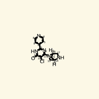 O=c1[nH]c(-c2ccncc2)nc(N2C[C@H]3C[C@@H]2CN3)c1Cl